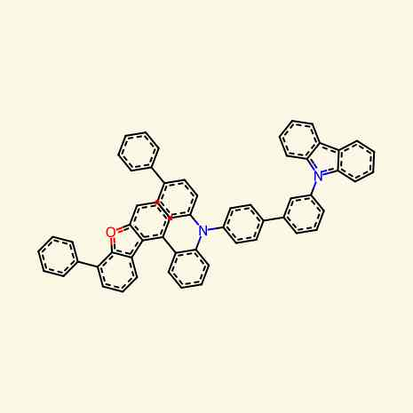 c1ccc(-c2ccc(N(c3ccc(-c4cccc(-n5c6ccccc6c6ccccc65)c4)cc3)c3ccccc3-c3cccc4oc5c(-c6ccccc6)cccc5c34)cc2)cc1